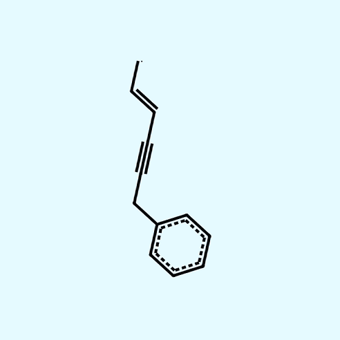 [CH2]C=CC#CCc1ccccc1